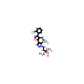 Cc1c(-c2onc(-c3ccccc3Cl)c2CBr)cnn1CCC(C)(C)O